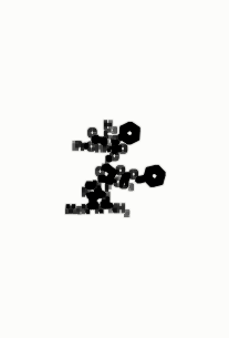 CNc1nc(N)nc2c1ncn2[C@@H]1O[C@H](CO[P@@](=O)(N[C@@H](C)C(=O)OC(C)C)Oc2ccccc2)[C@@H](OC(=O)OCc2ccccc2)[C@@]1(C)F